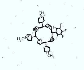 C[n+]1ccc(-c2c3nc(c(-c4cc[n+](C)cc4)c4ccc([nH]4)c(-c4c(F)c(F)c(F)c(F)c4F)c4nc(c(-c5cc[n+](C)cc5)c5ccc2[nH]5)C=C4)C=C3)cc1